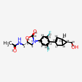 CC(=O)NC[C@H]1CN(c2cc(F)c(C3=C[C@@H]4C(C3)[C@@H]4CO)c(F)c2)C(=O)O1